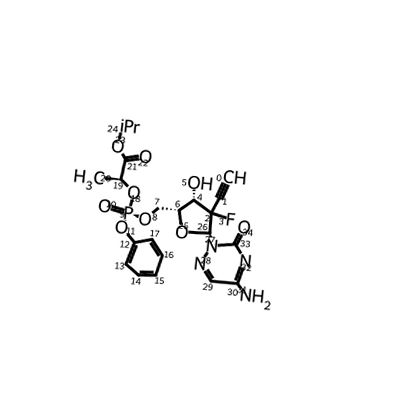 C#CC1(F)[C@@H](O)[C@@H](CO[P@](=O)(Oc2ccccc2)O[C@@H](C)C(=O)OC(C)C)O[C@H]1n1ncc(N)nc1=O